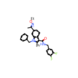 CCO/N=C(\C)c1ccc2c(C(=O)NCc3ccc(F)c(F)c3)c(C(C)C)n(Cc3ccccc3)c2c1